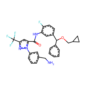 NCc1cccc(-n2nc(C(F)(F)F)cc2C(=O)Nc2cc(C(OCC3CC3)c3ccccc3)ccc2F)c1